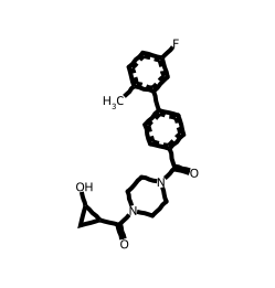 Cc1ccc(F)cc1-c1ccc(C(=O)N2CCN(C(=O)C3CC3O)CC2)cc1